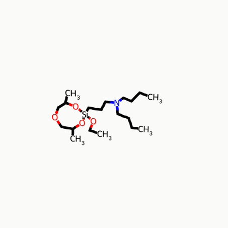 CCCCN(CCCC)CCC[Si]1(OCC)OC(C)COCC(C)O1